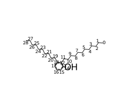 CCCCCCCCCCCCc1c(O)cccc1CCCCCCCCCC